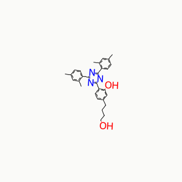 Cc1ccc(-c2nc(-c3ccc(C)cc3C)nc(-c3ccc(CCCCO)cc3O)n2)c(C)c1